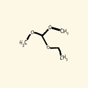 [CH2]OC(OC)OCC